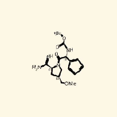 COC[C@H]1C[C@@H](C(=N)N)N(C(=O)[C@H](NC(=O)OC(C)(C)C)c2ccccc2)C1